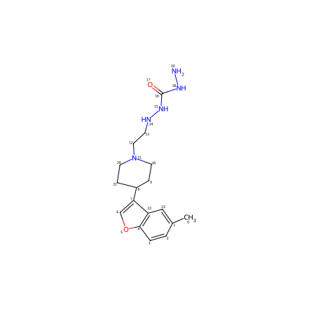 Cc1ccc2occ(C3CCN(CCNNC(=O)NN)CC3)c2c1